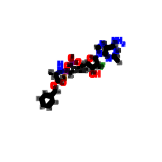 COP(=O)(OC[C@H]1O[C@@H](n2cnc3c(N)nc(C)nc32)[C@H](F)C1O)OP(C)(=S)N[C@@H](C)C(=O)OCc1ccccc1